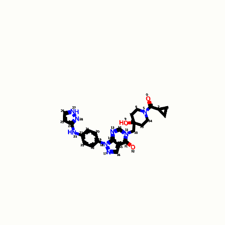 O=C(C1CC1)N1CCC(O)(Cn2cnc3c(cnn3-c3ccc(Nc4cc[nH]n4)cc3)c2=O)CC1